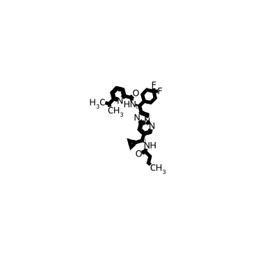 CCCC(=O)N[C@@H](c1cnn2cc([C@@H](NC(=O)c3cccc(C(C)C)n3)C3CCC(F)(F)CC3)nc2c1)C1CC1